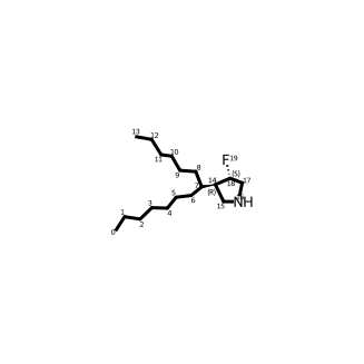 CCCCCCCC(CCCCCC)[C@@H]1CNC[C@H]1F